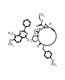 CCOC(=O)[C@@]12C[C@H]1/C=C\CCCCCN(Cc1ccc(OC)cc1)C(=O)N1C[C@H](Oc3nc(-c4ccccc4)nc4c(C)c(OC)ccc34)C[C@H]1C(=O)N2